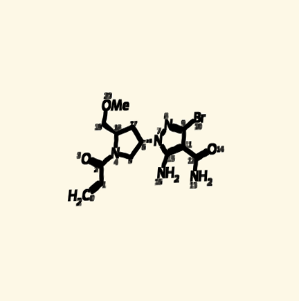 C=CC(=O)N1C[C@@H](n2nc(Br)c(C(N)=O)c2N)C[C@@H]1COC